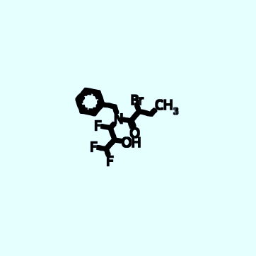 CCC(Br)C(=O)N(Cc1ccccc1)C(F)C(O)C(F)F